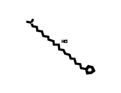 CP(C)CCCCCCCCCCCCCCCCCCCc1ccccc1.Cl